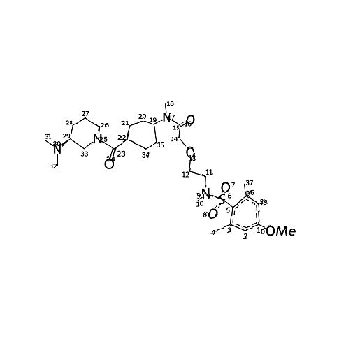 COc1cc(C)c(S(=O)(=O)N(C)CCOCC(=O)N(C)C2CCC(C(=O)N3CCC[C@H](N(C)C)C3)CC2)c(C)c1